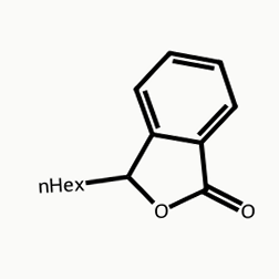 CCCCCCC1OC(=O)c2ccccc21